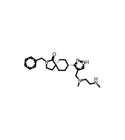 CNCCN(C)Cc1c[nH]nc1[C@H]1CC[C@@]2(CCN(Cc3ccccc3)C2=O)CC1